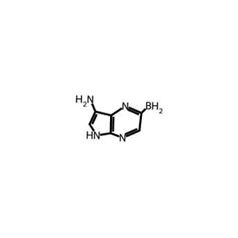 Bc1cnc2[nH]cc(N)c2n1